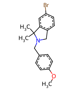 COc1ccc(CN2Cc3ccc(Br)cc3C2(C)C)cc1